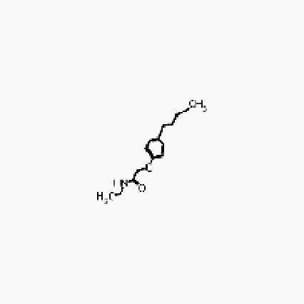 CCCCCc1ccc(OCC(=O)NCC)cc1